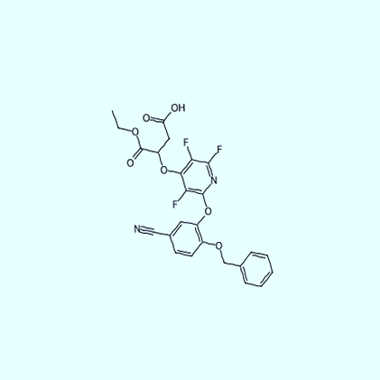 CCOC(=O)C(CC(=O)O)Oc1c(F)c(F)nc(Oc2cc(C#N)ccc2OCc2ccccc2)c1F